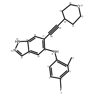 Cc1cc(F)ccc1Nc1cc2cn[nH]c2cc1C#CC1CCOCC1